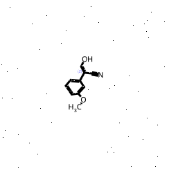 COc1cccc(/C(C#N)=C/O)c1